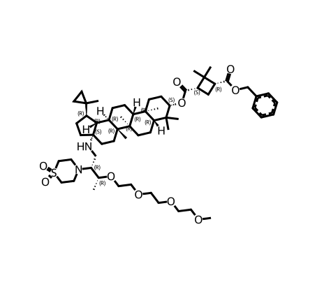 COCCOCCOCCO[C@H](C)[C@@H](CN[C@]12CC[C@@H](C3(C)CC3)[C@@H]1[C@H]1CC[C@@H]3[C@@]4(C)CC[C@H](OC(=O)[C@H]5C[C@@H](C(=O)OCc6ccccc6)C5(C)C)C(C)(C)[C@@H]4CC[C@@]3(C)[C@]1(C)CC2)N1CCS(=O)(=O)CC1